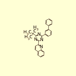 CC(C)(C)c1nc(-c2cccc(-c3ccccc3)c2)nc(-c2ccc3ccccc3n2)n1